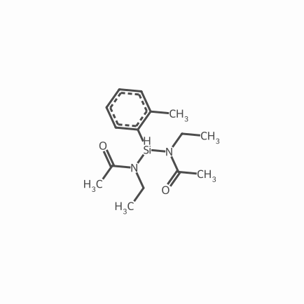 CCN(C(C)=O)[SiH](c1ccccc1C)N(CC)C(C)=O